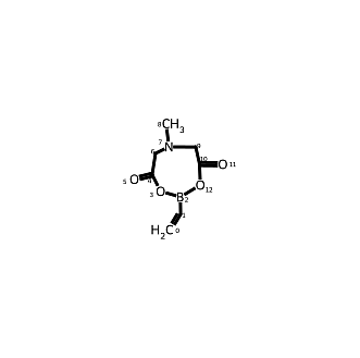 C=CB1OC(=O)CN(C)CC(=O)O1